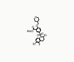 CCc1ccc2c(c1F)CCC(CC)N2S(=O)(=O)c1ccc(OCC2CCOCC2)c(C(=O)OC)c1